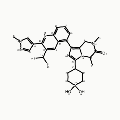 CC1C(=O)N(C)Cc2c(-c3cccc4nc(-c5cnn(C)c5)c(C(F)F)cc34)nc(C3CCS(O)(O)CC3)n21